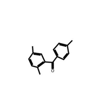 Cc1ccc(C(=O)c2cc(C)ccc2C)cc1